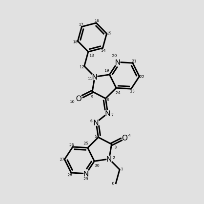 CCN1C(=O)/C(=N\N=C2/C(=O)N(Cc3ccccc3)c3ncccc32)c2cccnc21